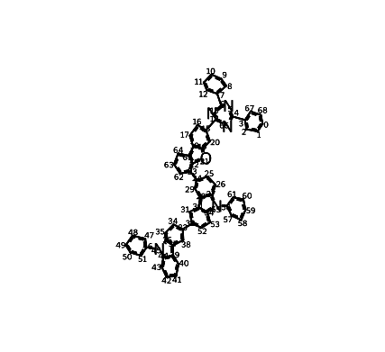 c1ccc(-c2nc(-c3ccccc3)nc(-c3ccc4c(c3)oc3c(-c5ccc6c(c5)c5cc(-c7ccc8c(c7)c7ccccc7n8-c7ccccc7)ccc5n6-c5ccccc5)cccc34)n2)cc1